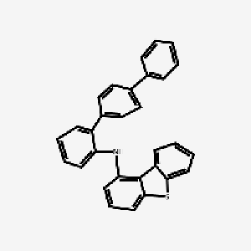 c1ccc(-c2ccc(-c3ccccc3Nc3cccc4sc5ccccc5c34)cc2)cc1